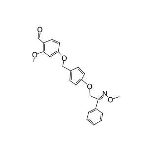 CON=C(COc1ccc(COc2ccc(C=O)c(OC)c2)cc1)c1ccccc1